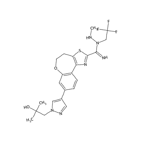 CNN(CC(F)(F)F)C(=N)c1nc2c(s1)CCOc1cc(-c3cnn(CC(C)(C)O)c3)ccc1-2